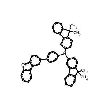 CC1(C)c2ccccc2-c2cc(N(c3ccc(-c4ccc5oc6ccccc6c5c4)cc3)c3ccc4c(c3)-c3ccccc3C4(C)C)ccc21